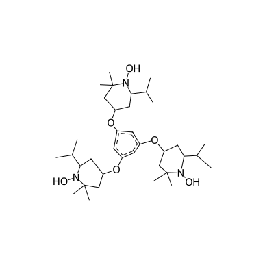 CC(C)C1CC(Oc2cc(OC3CC(C(C)C)N(O)C(C)(C)C3)cc(OC3CC(C(C)C)N(O)C(C)(C)C3)c2)CC(C)(C)N1O